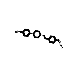 CCCc1ccc([C@H]2CC[C@H](CCc3ccc(N=C=S)cc3)CC2)cc1